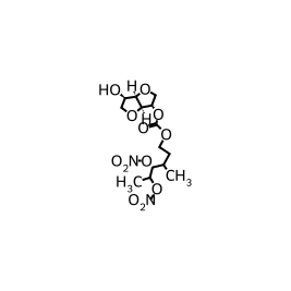 CC(CCOC(=O)O[C@@H]1CO[C@H]2[C@@H]1OC[C@H]2O)C(O[N+](=O)[O-])C(C)O[N+](=O)[O-]